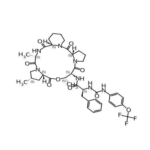 C[C@H]1C[C@H]2C(=O)O[C@@H](C)[C@H](NC(=O)[C@H](Cc3ccccc3)NC(=O)Nc3ccc(OC(F)(F)F)cc3)C(=O)N3CCC[C@H]3C(=O)N3CCCC[C@H]3C(=O)N[C@@H](C)C(=O)N2C1